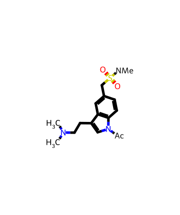 CNS(=O)(=O)Cc1ccc2c(c1)c(CCN(C)C)cn2C(C)=O